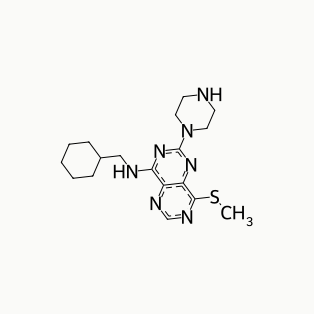 CSc1ncnc2c(NCC3CCCCC3)nc(N3CCNCC3)nc12